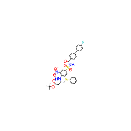 CC(C)(C)OC(=O)CC(CSc1ccccc1)Nc1ccc(S(=O)(=O)NC(=O)c2ccc(-c3ccc(F)cc3)cc2)cc1[N+](=O)[O-]